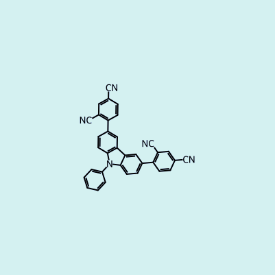 N#Cc1ccc(-c2ccc3c(c2)c2cc(-c4ccc(C#N)cc4C#N)ccc2n3-c2ccccc2)c(C#N)c1